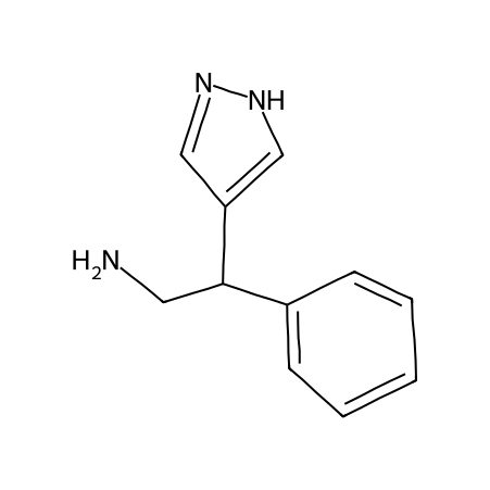 NCC(c1ccccc1)c1cn[nH]c1